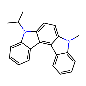 CC(C)n1c2ccccc2c2c3c4ccccc4n(C)c3ccc21